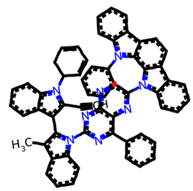 C#Cc1c(-c2c(C)c3ccccc3n2-c2nc(-c3ccccc3)c3nc(-n4c5ccccc5c5ccc6c7ccccc7n(-c7ccccc7)c6c54)cnc3n2)c2ccccc2n1C1C=CC=CC1